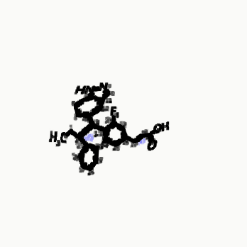 CC/C(=C(\c1ccc2[nH]ncc2c1)c1ccc(/C=C/C(=O)O)cc1F)c1ccccc1